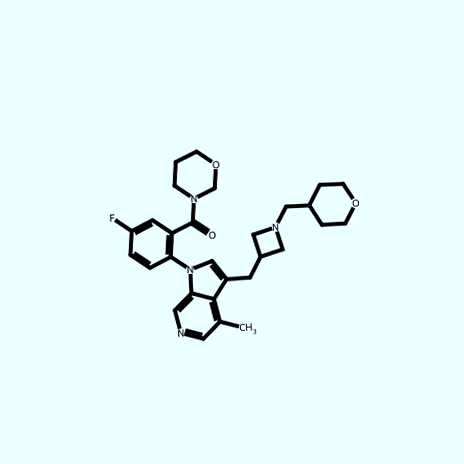 Cc1cncc2c1c(CC1CN(CC3CCOCC3)C1)cn2-c1ccc(F)cc1C(=O)N1CCCOC1